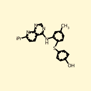 Cc1ccc(Sc2ccc(O)cc2)c(Nc2ncnc3nc(C(C)C)ccc23)c1